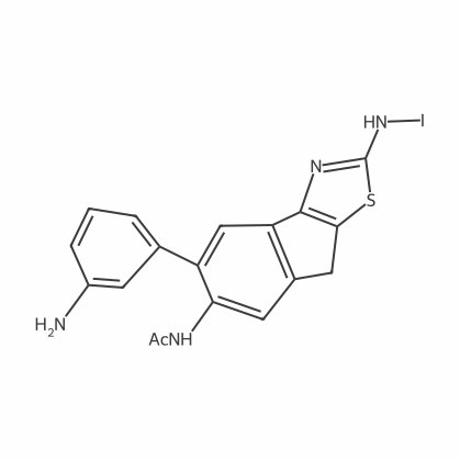 CC(=O)Nc1cc2c(cc1-c1cccc(N)c1)-c1nc(NI)sc1C2